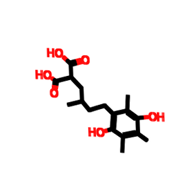 Cc1c(C)c(O)c(CCC(C)CC(C(=O)O)C(=O)O)c(C)c1O